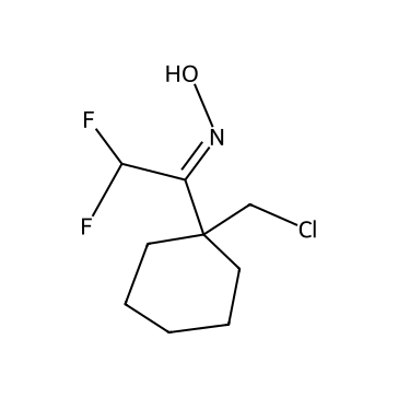 O/N=C(\C(F)F)C1(CCl)CCCCC1